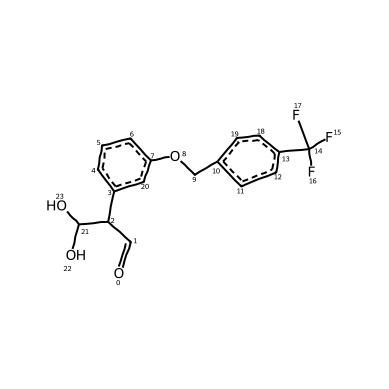 O=CC(c1cccc(OCc2ccc(C(F)(F)F)cc2)c1)C(O)O